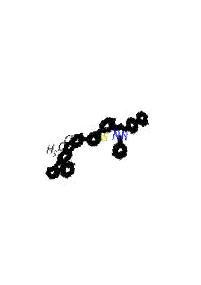 CC1(C)c2ccc(-c3ccc4c(c3)C3C=CC=C(C5=NC(C6C=CC=CC6)=NC(c6ccc(-c7ccccc7)cc6)C5)C3S4)cc2-c2cc3c(cc21)-c1ccccc1C31CCCCC1